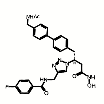 CC(=O)NCc1ccc(-c2ccc(C[C@H](CC(=O)NO)n3cc(CNC(=O)c4ccc(F)cc4)nn3)cc2)cc1